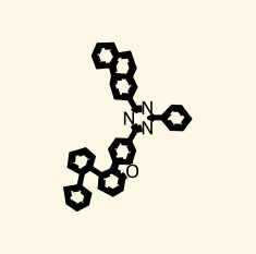 c1ccc(-c2nc(-c3ccc4c(ccc5ccccc54)c3)nc(-c3ccc4c(c3)oc3cccc(-c5ccccc5-c5ccccc5)c34)n2)cc1